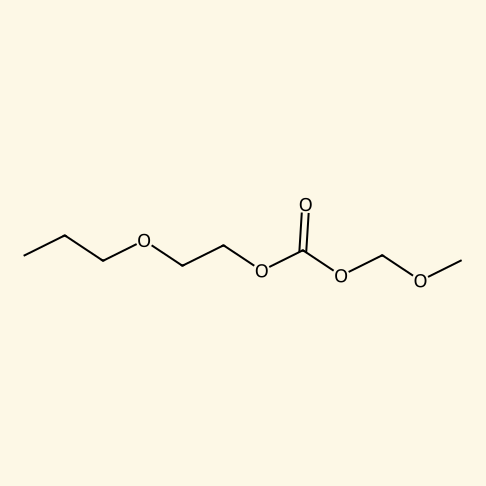 CCCOCCOC(=O)OCOC